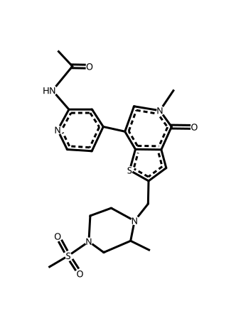 CC(=O)Nc1cc(-c2cn(C)c(=O)c3cc(CN4CCN(S(C)(=O)=O)CC4C)sc23)ccn1